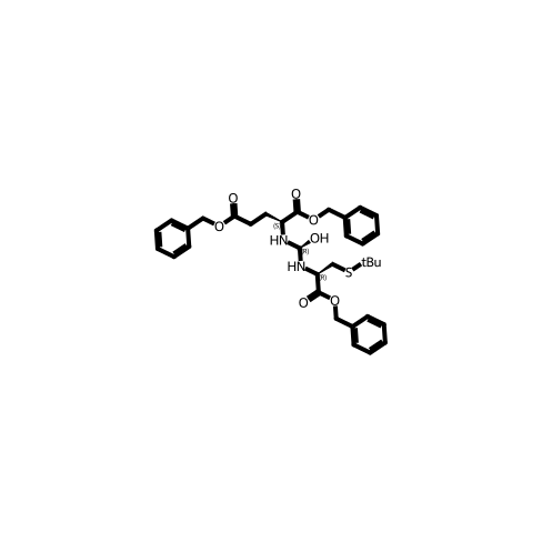 CC(C)(C)SC[C@H](N[C@H](O)N[C@@H](CCC(=O)OCc1ccccc1)C(=O)OCc1ccccc1)C(=O)OCc1ccccc1